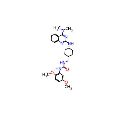 COc1ccc(OC)c(NC(=O)NC[C@H]2CC[C@@H](Nc3nc(N(C)C)c4ccccc4n3)CC2)c1